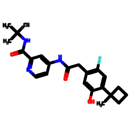 CC(C)(C#N)NC(=O)c1cc(NC(=O)Cc2cc(O)c(C3(C)CCC3)cc2F)ccn1